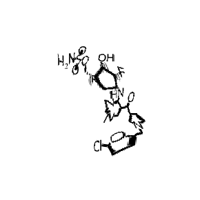 NS(=O)(=O)OC[C@H]1C[C@@H](Nc2ncncc2C(=O)c2ccn(Cc3ccc(Cl)o3)c2)[C@@H](F)[C@@H]1O